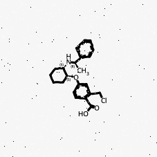 C[C@@H](N[C@H]1CCCC[C@@H]1Oc1ccc(C(=O)O)c(CCl)c1)c1ccccc1